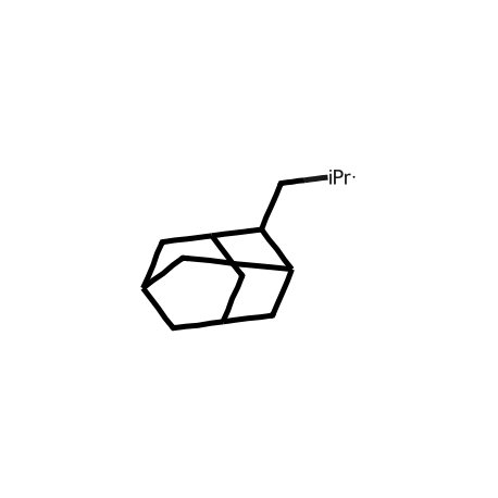 C[C](C)CC1C2CC3CC(C2)CC1C3